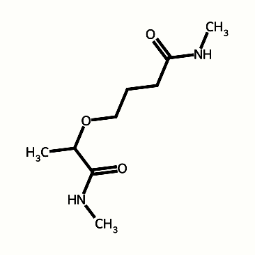 CNC(=O)CCCOC(C)C(=O)NC